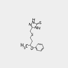 CC(CCSCc1n[nH]c(=S)[nH]1)Oc1ccccc1